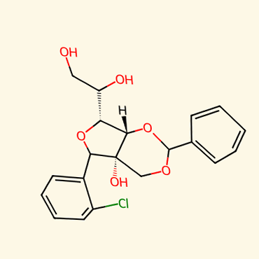 OCC(O)[C@H]1OC(c2ccccc2Cl)[C@]2(O)COC(c3ccccc3)O[C@@H]12